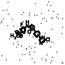 CS(=O)(=O)c1ccc(N[C@H]2CCN(C3CCN(c4cncc(Cl)n4)CC3)C2=O)c(F)c1